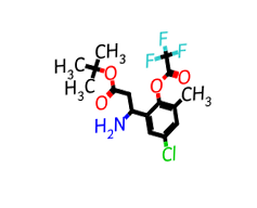 Cc1cc(Cl)cc(C(N)CC(=O)OC(C)(C)C)c1OC(=O)C(F)(F)F